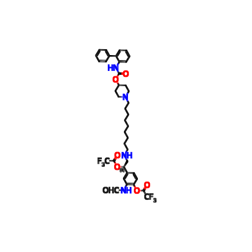 O=CNc1cc([C@H](CNCCCCCCCCCN2CCC(OC(=O)Nc3ccccc3-c3ccccc3)CC2)OC(=O)C(F)(F)F)ccc1OC(=O)C(F)(F)F